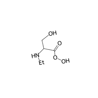 CCNC(CO)C(=O)OO